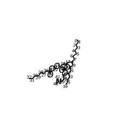 CCCCCCCCC(CCCCCCCC)CC(CCOCOC(=O)CCCCCCC)OC(=O)OCCCN(C)C